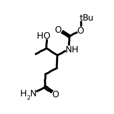 CC(O)C(CCC(N)=O)NC(=O)OC(C)(C)C